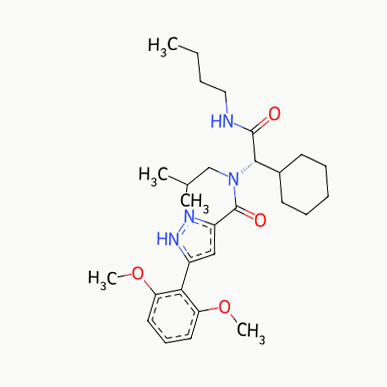 CCCCNC(=O)[C@H](C1CCCCC1)N(CC(C)C)C(=O)c1cc(-c2c(OC)cccc2OC)[nH]n1